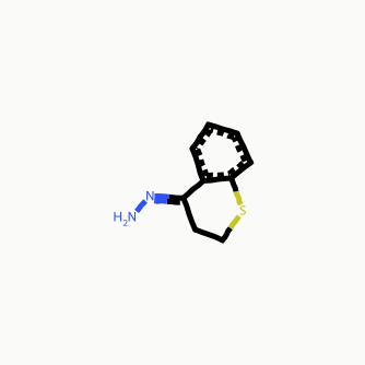 NN=C1CCSc2ccccc21